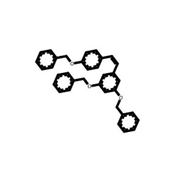 C(=C/c1cc(OCc2ccccc2)cc(OCc2ccccc2)c1)/c1ccc(OCc2ccccc2)cc1